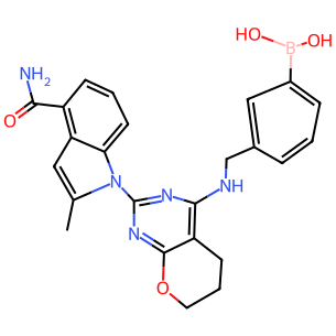 Cc1cc2c(C(N)=O)cccc2n1-c1nc(NCc2cccc(B(O)O)c2)c2c(n1)OCCC2